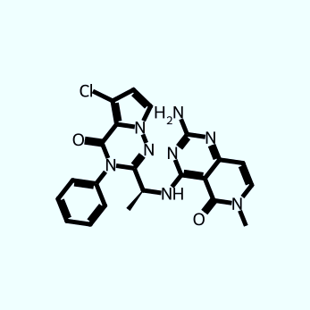 C[C@H](Nc1nc(N)nc2ccn(C)c(=O)c12)c1nn2ccc(Cl)c2c(=O)n1-c1ccccc1